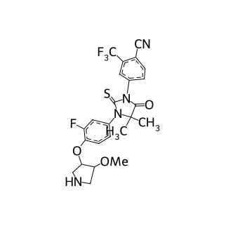 COC1CNCC1Oc1ccc(N2C(=S)N(c3ccc(C#N)c(C(F)(F)F)c3)C(=O)C2(C)C)cc1F